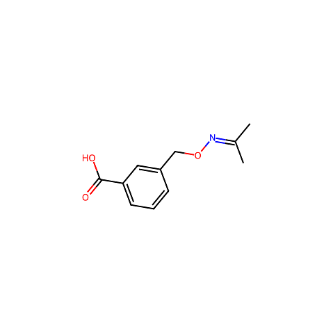 CC(C)=NOCc1cccc(C(=O)O)c1